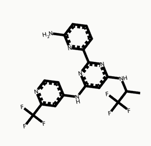 CC(Nc1cc(Nc2ccnc(C(F)(F)F)c2)nc(-c2cccc(N)n2)n1)C(F)(F)F